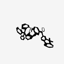 CC1(C)c2ccccc2-c2ccc(C(=O)c3ccc4c(c3)c3cccc5c3n4-c3ccccc3C5(c3ccccc3)c3ccccc3)cc21